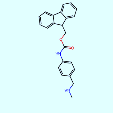 CNCc1ccc(NC(=O)OCC2c3ccccc3-c3ccccc32)cc1